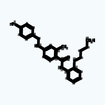 CCCc1ccc(CNc2ccc(C(=O)Nc3ccccc3SCCCC(=O)O)c(C)c2)cc1